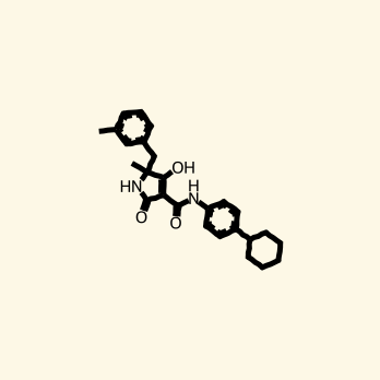 Cc1cccc(CC2(C)NC(=O)C(C(=O)Nc3ccc(C4CCCCC4)cc3)=C2O)c1